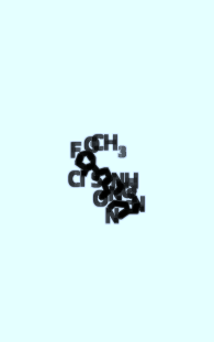 COc1cc(-c2cc3[nH]c(=O)n(-c4cncc5cnsc45)c(=O)c3s2)c(Cl)cc1F